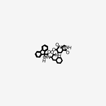 NC(=O)C(=O)C(CC1CCNC1=O)NC(=O)C(CC1CCCCC1)NC(=O)C1(O)c2ccccc2-c2ccccc21